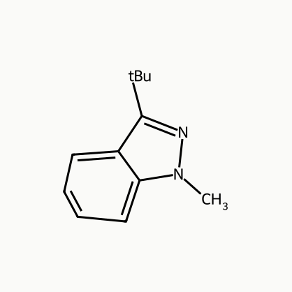 Cn1nc(C(C)(C)C)c2ccccc21